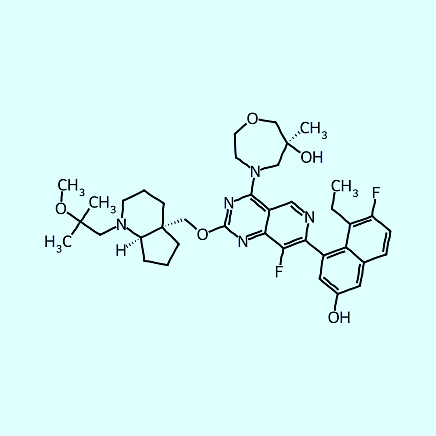 CCc1c(F)ccc2cc(O)cc(-c3ncc4c(N5CCOC[C@@](C)(O)C5)nc(OC[C@]56CCC[C@H]5N(CC(C)(C)OC)CCC6)nc4c3F)c12